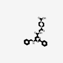 O=C(NCC(=O)N1CCN(C(=O)O)CC1)c1cc(NCc2ccccc2)nc(-c2ccccc2)n1